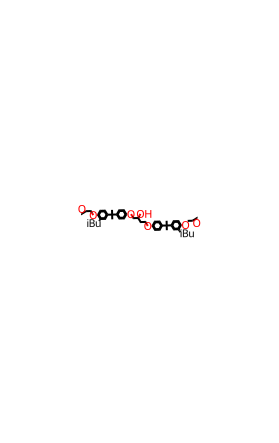 CCC(C)c1cc(C(C)(C)c2ccc(OCCC(O)COc3ccc(C(C)(C)c4ccc(OCC5CO5)c(C(C)CC)c4)cc3)cc2)ccc1OCC1CO1